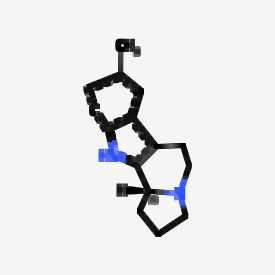 Cc1ccc2[nH]c3c(c2c1)CCN1CCC[C@H]31